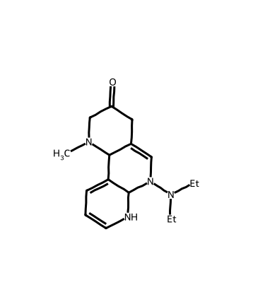 CCN(CC)N1C=C2CC(=O)CN(C)C2C2=CC=CNC21